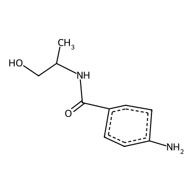 CC(CO)NC(=O)c1ccc(N)cc1